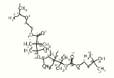 CC(C)OCCOC(=O)C(C)(C)C(C)(C)OC(C)CC(C)(C)C(C)(C)OC(=O)OCCC(C)(C)O